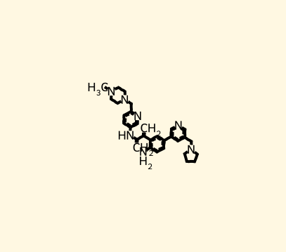 C=C(Nc1ccc(CN2CCN(C)CC2)nc1)C(=C)c1cc(-c2cncc(CN3CCCC3)c2)ccc1N